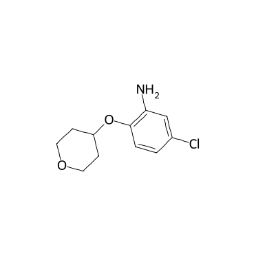 Nc1cc(Cl)ccc1OC1CCOCC1